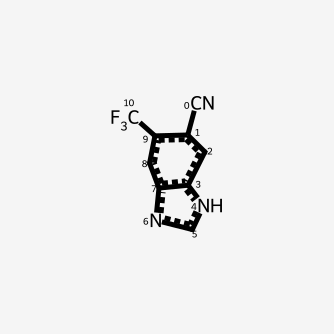 N#Cc1cc2[nH]cnc2cc1C(F)(F)F